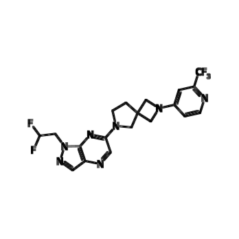 FC(F)Cn1ncc2ncc(N3CCC4(CN(c5ccnc(C(F)(F)F)c5)C4)C3)nc21